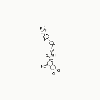 O=C(NC12CC(n3cc(-c4ccc(OC(F)(F)F)cn4)cn3)(C1)C2)[C@H]1C[C@@H](O)c2cc(Cl)c(Cl)cc2O1